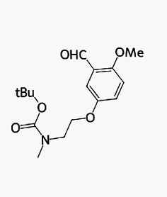 COc1ccc(OCCN(C)C(=O)OC(C)(C)C)cc1C=O